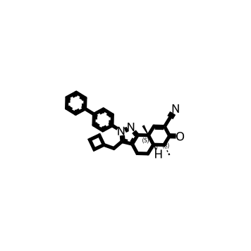 C[C@H]1C(=O)C(C#N)=C[C@@]2(C)c3nn(-c4ccc(-c5ccccc5)cc4)c(CC4CCC4)c3CC[C@H]12